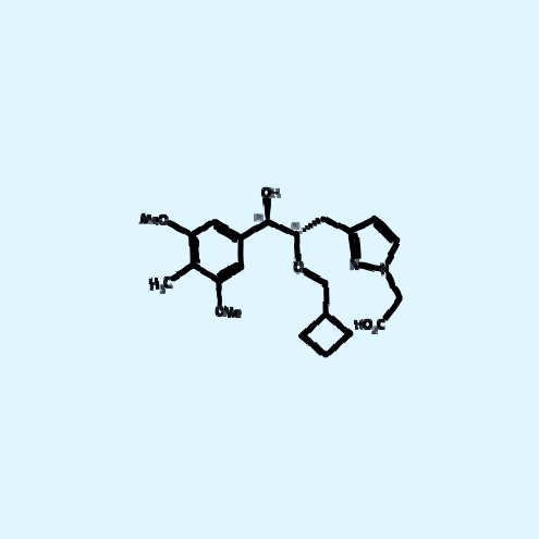 COc1cc([C@@H](O)[C@H](Cc2ccn(CC(=O)O)n2)OCC2CCC2)cc(OC)c1C